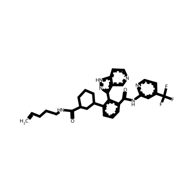 C=CCCCNC(=O)C1CCCC(c2cccc(C(=O)Nc3cc(C(F)(F)F)ccn3)c2-c2n[nH]c3ccncc23)C1